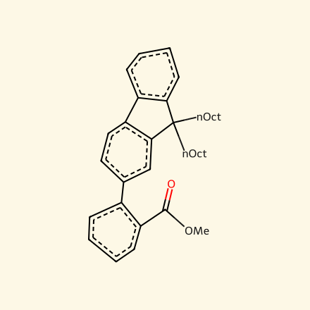 CCCCCCCCC1(CCCCCCCC)c2ccccc2-c2ccc(-c3ccccc3C(=O)OC)cc21